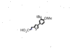 COc1ccc(-c2csc(/C=C/C(=O)O)c2)cc1C(C)(C)C